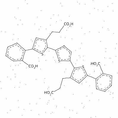 O=C(O)CCc1cc(-c2ccccc2C(=O)O)sc1-c1ccc(-c2sc(-c3ccccc3C(=O)O)cc2CCC(=O)O)s1